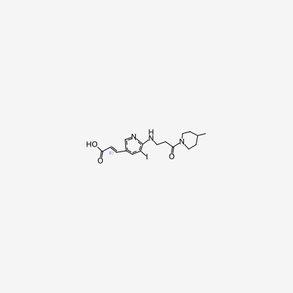 CC1CCN(C(=O)CCNc2ncc(/C=C/C(=O)O)cc2I)CC1